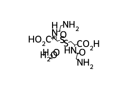 NCC(=O)NC(CSSC[C@H](NC(=O)CN)C(=O)O)C(=O)O.O.O